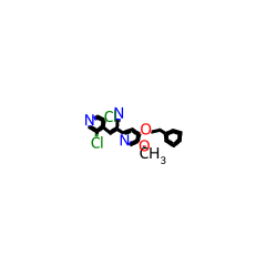 COc1cnc(/C(C#N)=C/c2c(Cl)cncc2Cl)cc1OCCc1ccccc1